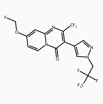 O=c1c(-c2cnn(CC(F)(F)C(F)(F)F)c2)c(C(F)(F)F)nc2cc(OCF)ccn12